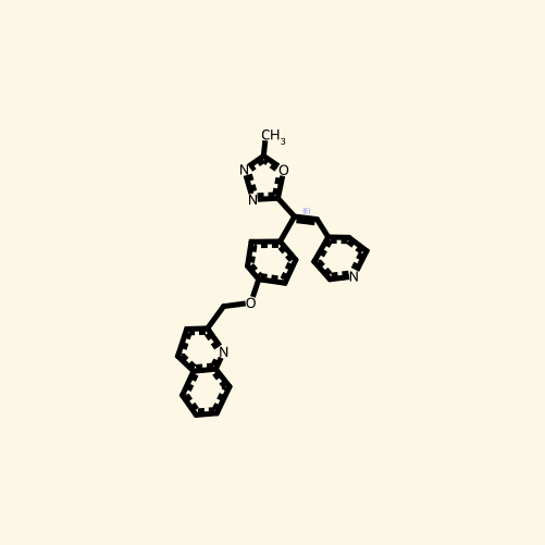 Cc1nnc(/C(=C/c2ccncc2)c2ccc(OCc3ccc4ccccc4n3)cc2)o1